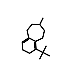 CC1CCC2=CCCC(C(C)(C)C)=C2CC1